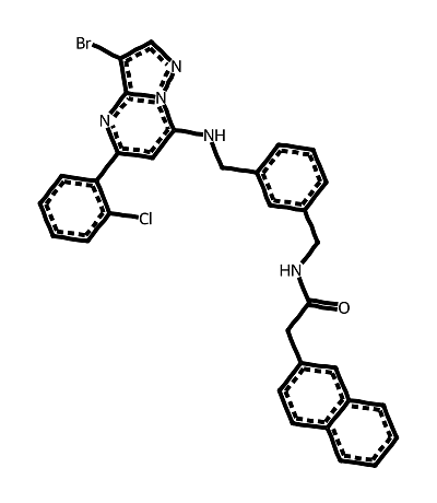 O=C(Cc1ccc2ccccc2c1)NCc1cccc(CNc2cc(-c3ccccc3Cl)nc3c(Br)cnn23)c1